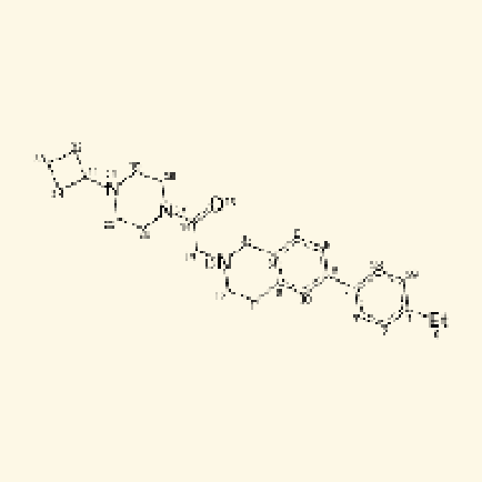 CCc1ccc(-c2ccc3c(c2)CCN(CC(=O)N2CCN(C4CCC4)CC2)C3)cc1